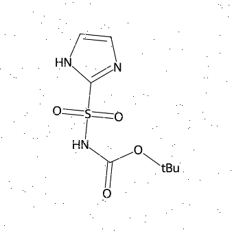 CC(C)(C)OC(=O)NS(=O)(=O)c1ncc[nH]1